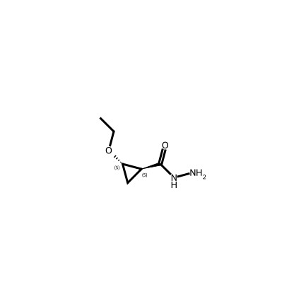 CCO[C@H]1C[C@@H]1C(=O)NN